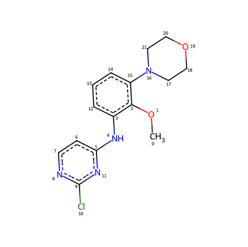 COc1c(Nc2ccnc(Cl)n2)cccc1N1CCOCC1